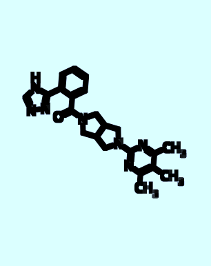 Cc1nc(N2CC3CN(C(=O)c4ccccc4-c4nnc[nH]4)CC3C2)nc(C)c1C